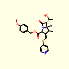 COc1ccc(COC(=O)C2C(=CSc3ccncc3)C(C)[C@H]3[C@@H](C(C)O)C(=O)N23)cc1